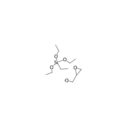 CCO[Si](CC)(OCC)OCC.[O]CC1CO1